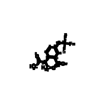 CC(=O)N(C)c1ccc(SC(F)(F)F)cc1[N+](=O)[O-]